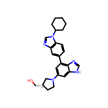 OC[C@H]1CCN(c2cc(-c3ccc4c(c3)ncn4C3CCCCC3)c3nc[nH]c3c2)C1